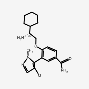 Cn1ncc(Cl)c1-c1cc(C(N)=O)ccc1OC[C@H](N)C1CCCCC1